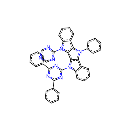 c1ccc(-c2nc(-c3ccccc3)nc(-n3c4ccccc4c4c3c3c(c5ccccc5n3-c3ncncn3)n4-c3ccccc3)n2)cc1